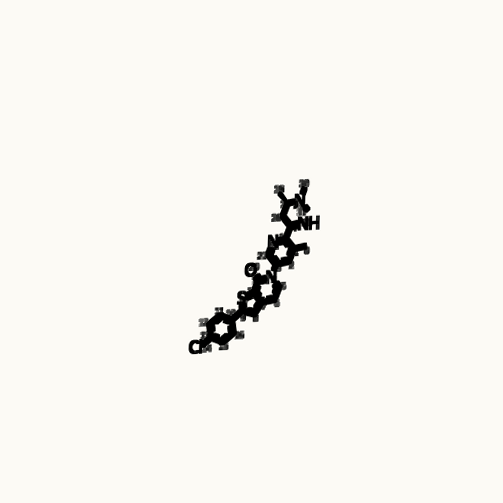 Cc1cc(-n2ccc3cc(-c4ccc(Cl)cc4)sc3c2=O)cnc1C(=N)C[C@@H](C)N(C)C